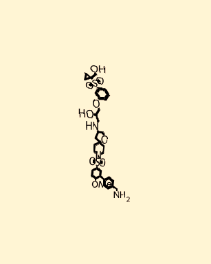 COc1ccc(S(=O)(=O)N2CCC3(CC2)CC(NCC(O)COc2cccc(S(=O)(=O)C4(CO)CC4)c2)CO3)cc1-c1ccc(CN)cc1